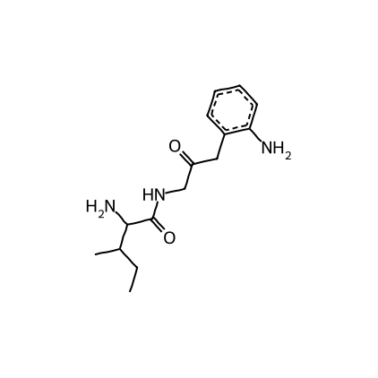 CCC(C)C(N)C(=O)NCC(=O)Cc1ccccc1N